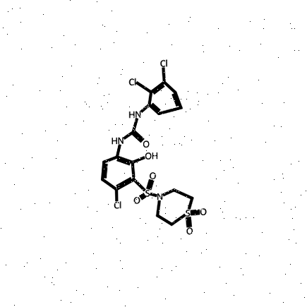 O=C(Nc1ccc(Cl)c(S(=O)(=O)N2CCS(=O)(=O)CC2)c1O)Nc1cccc(Cl)c1Cl